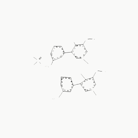 CCCCSc1c[n+](CC)cc(-c2cccc(OC)c2)c1F.CCCCSc1c[n+](CC)cc(-c2cccc(OC)c2)c1F.O=P([O-])([O-])O